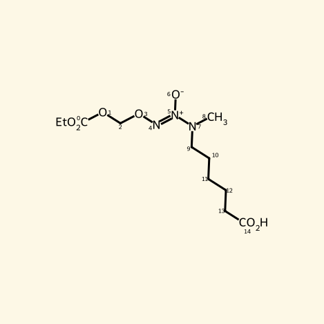 CCOC(=O)OCON=[N+]([O-])N(C)CCCCCC(=O)O